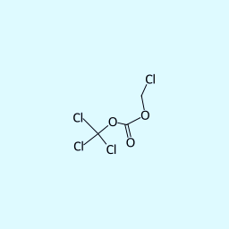 O=C(OCCl)OC(Cl)(Cl)Cl